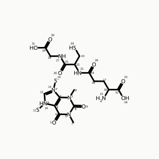 Cn1c2c(c(=O)n(C)c1=O)[NH+]([S-])C=[N+]2[S-].NC(CCC(=O)NC(CS)C(=O)NCC(=O)O)C(=O)O